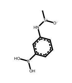 C[S+]([O-])Nc1cccc(B(O)O)c1